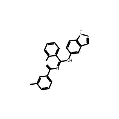 C=C(/N=C(/Nc1ccc2[nH]ncc2c1)c1ccccc1C)c1cccc(C)c1